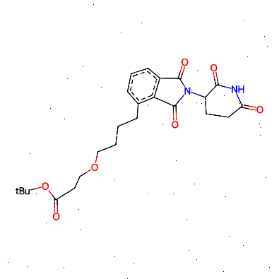 CC(C)(C)OC(=O)CCOCCCCc1cccc2c1C(=O)N(C1CCC(=O)NC1=O)C2=O